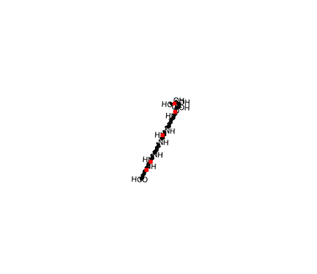 O=C(O)CCCCCNCCNCCNCCCCCNCCNCCNCCCCCCNCCO[C@H]1O[C@H](CO)[C@@H](O)[C@H](O)[C@@H]1O